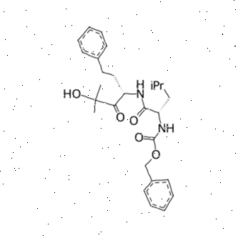 CC(C)C[C@H](NC(=O)OCc1ccccc1)C(=O)N[C@@H](CCc1ccccc1)C(=O)C(C)(C)O